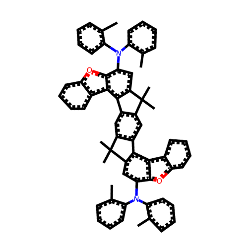 Cc1ccccc1N(c1ccccc1C)c1cc2c(c3c1oc1ccccc13)-c1cc3c(cc1C2(C)C)-c1c(cc(N(c2ccccc2C)c2ccccc2C)c2oc4ccccc4c12)C3(C)C